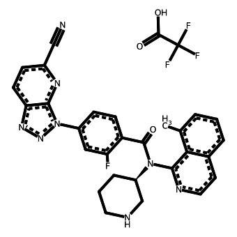 Cc1cccc2ccnc(N(C(=O)c3ccc(-n4nnc5ccc(C#N)nc54)cc3F)[C@@H]3CCCNC3)c12.O=C(O)C(F)(F)F